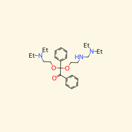 CCN(CC)CCOC(OCCNCN(CC)CC)(C(=O)c1ccccc1)c1ccccc1